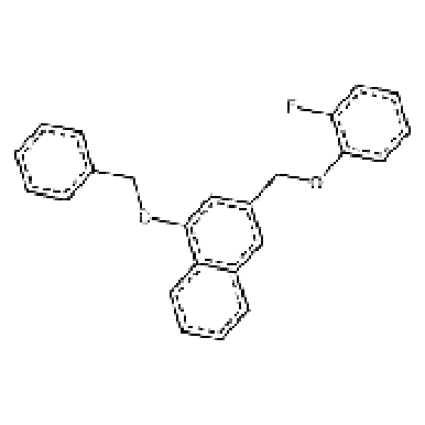 Fc1ccccc1OCc1cc(OCc2ccccc2)c2ccccc2c1